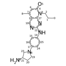 CCCn1c(=O)cc(C)c2cnc(Nc3ccc(N4CCC(N)C4)cc3)nc21